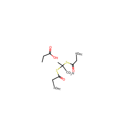 CCC(=O)O.CCCCCCCCCCCC(=O)SC(C)(SC(=O)CCCCCCCCCCC)C(=O)O